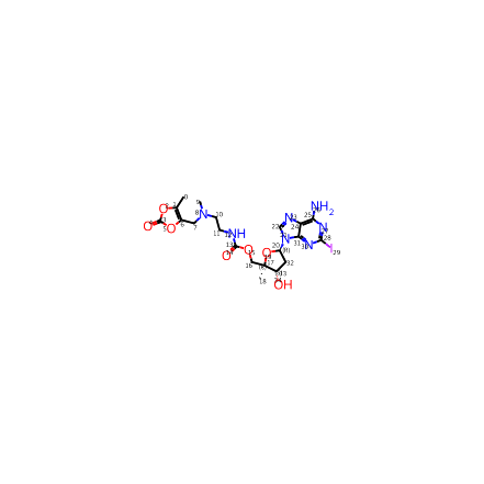 Cc1oc(=O)oc1CN(C)CCNC(=O)OC[C@@]1(C)O[C@@H](n2cnc3c(N)nc(I)nc32)C[C@@H]1O